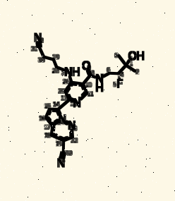 CC(C)(O)[C@H](F)CNC(=O)c1cnc(-c2ccc3cc(C#N)cnn23)cc1NCCCC#N